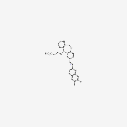 CCOC(=O)CCSC1c2cc(/C=C/c3ccc4cc(F)c(F)cc4n3)ccc2OCc2ncccc21